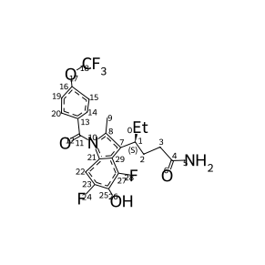 CC[C@@H](CCC(N)=O)c1c(C)n(C(=O)c2ccc(OC(F)(F)F)cc2)c2cc(F)c(O)c(F)c12